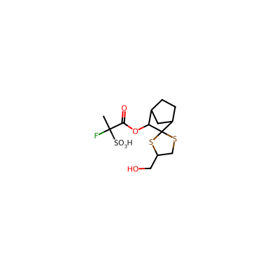 CC(F)(C(=O)OC1C2CCC(C2)C12SCC(CO)S2)S(=O)(=O)O